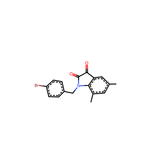 Cc1cc(C)c2c(c1)C(=O)C(=O)N2Cc1ccc(Br)cc1